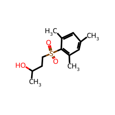 Cc1cc(C)c(S(=O)(=O)CCC(C)O)c(C)c1